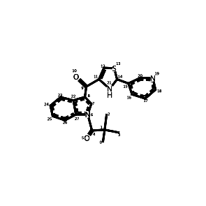 CC(C)(C)C(=O)n1cc(C(=O)C2=CSC(c3cccnc3)N2)c2ccccc21